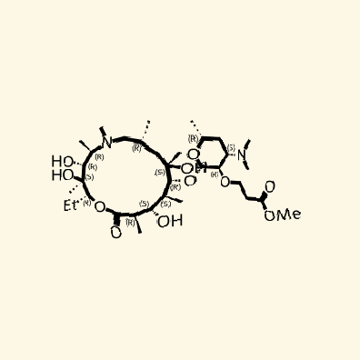 CC[C@H]1OC(=O)[C@H](C)[C@@H](O)[C@H](C)[C@@H](O[C@@H]2O[C@H](C)C[C@H](N(C)C)[C@H]2OCCC(=O)OC)[C@@](C)(O)C[C@@H](C)CN(C)[C@H](C)[C@@H](O)[C@]1(C)O